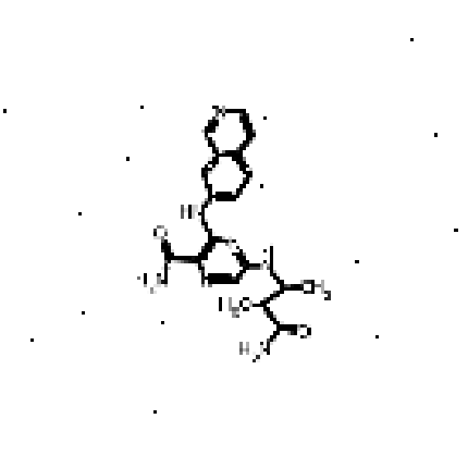 CC(Nc1cnc(C(N)=O)c(Nc2ccc3ccncc3c2)n1)C(C)C(N)=O